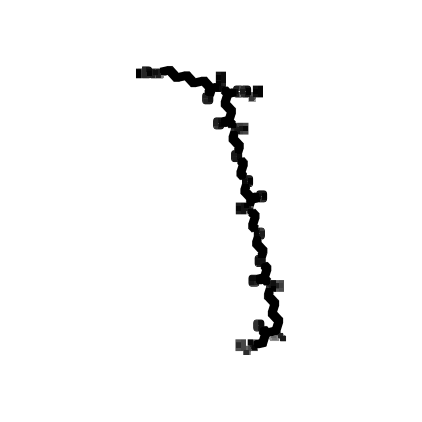 CCCCCCCCCCCCCCCC(=O)NC(CCC(=O)NCCOCCOCC(=O)NCCOCCOCC(=O)NCCCC[C@H](C)C(=O)CN)C(=O)O